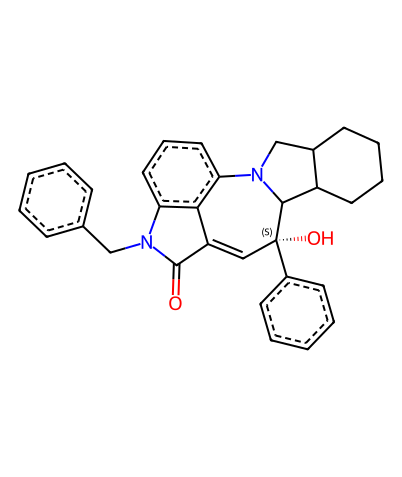 O=C1C2=C[C@](O)(c3ccccc3)C3C4CCCCC4CN3c3cccc(c32)N1Cc1ccccc1